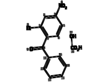 CCc1cc([N+](=O)[O-])ccc1C(=O)c1ccccc1.O=C(O)O